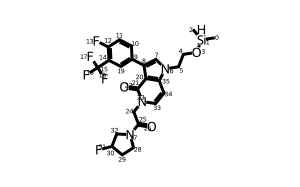 C[SiH](C)OCCn1cc(-c2ccc(F)c(C(F)(F)F)c2)c2c(=O)n(CC(=O)N3CCC(F)C3)ccc21